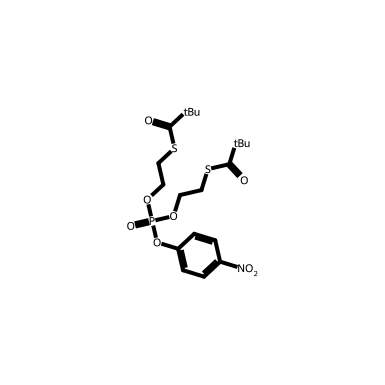 CC(C)(C)C(=O)SCCOP(=O)(OCCSC(=O)C(C)(C)C)Oc1ccc([N+](=O)[O-])cc1